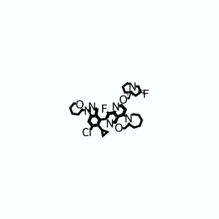 Fc1c(-c2c(C3CC3)c(Cl)cc3c2cnn3C2CCCCO2)nc2c3c(cc(OC[C@@]45CCCN4C[C@H](F)C5)nc13)N1CCCCCC1CO2